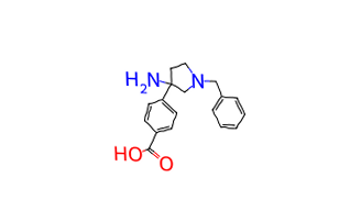 NC1(c2ccc(C(=O)O)cc2)CCN(Cc2ccccc2)C1